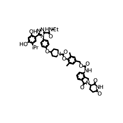 CCNC(=O)c1nnc(-c2cc(C(C)C)c(O)cc2O)n1-c1ccc(OC2CCN(C(=O)Oc3c(C)cc(COC(=O)Nc4cccc5c4CN(C4CCC(=O)NC4=O)C5=O)cc3C)CC2)cc1